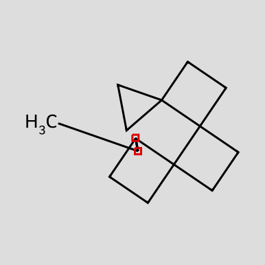 CC1CCC12CCC21CCC12CCC21CC1